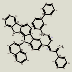 C=C(/C=C(\C=C/Nc1cccc(-c2ccccc2)c1)c1ccc2c(c1)c1ccc3c4ccccc4oc3c1n2-c1cccc2ccccc12)c1ccccc1